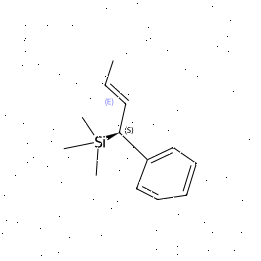 C/C=C/[C@@H](c1ccccc1)[Si](C)(C)C